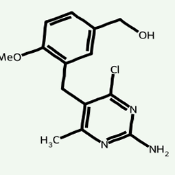 COc1ccc(CO)cc1Cc1c(C)nc(N)nc1Cl